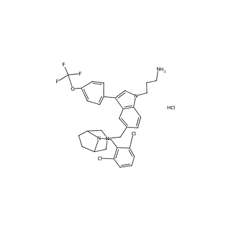 Cl.NCCCn1cc(-c2ccc(OC(F)(F)F)cc2)c2cc(CN3CC4CCC(C3)N4Cc3c(Cl)cccc3Cl)ccc21